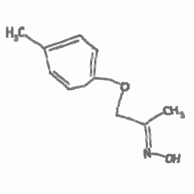 C/C(COc1ccc(C)cc1)=N\O